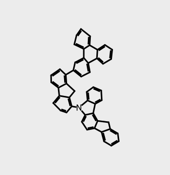 c1ccc2c(c1)Cc1c-2ccc2c1c1ccccc1n2-c1cccc2c1Cc1c(-c3ccc4c5ccccc5c5ccccc5c4c3)cccc1-2